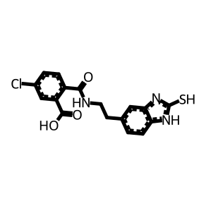 O=C(O)c1cc(Cl)ccc1C(=O)NCCc1ccc2[nH]c(S)nc2c1